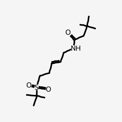 CC(C)(C)CC(=O)NC/C=C/CCS(=O)(=O)C(C)(C)C